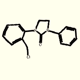 O=C1N(c2ccccc2)CCN1c1ccccc1CCl